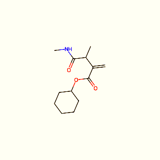 C=C(C(=O)OC1CCCCC1)C(C)C(=O)NC